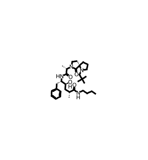 CCCCNC(=O)[C@H](C)C[C@H](O)[C@H](Cc1ccccc1)NC(=O)[C@H](C)N1CC[C@@]2(CCCN2CC(C)(C)C)C1=O